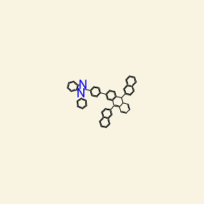 C1=CC2=C(c3ccc4ccccc4c3)c3cc(-c4ccc(-c5nc6ccccc6n5-c5ccccc5)cc4)ccc3C(c3ccc4ccccc4c3)C2C=C1